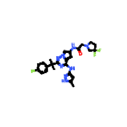 Cc1cc(Nc2nc(C(C)(C)c3ccc(F)cc3)nn3cc(NC(=O)CN4CCC(F)(F)C4)cc23)n[nH]1